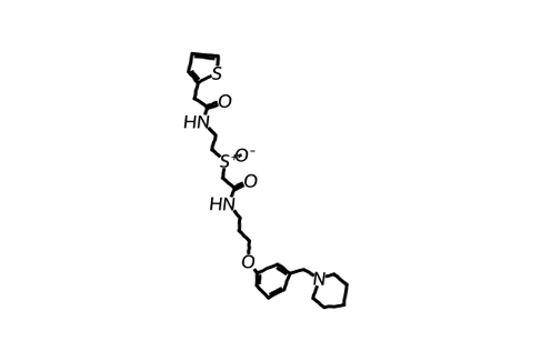 O=C(Cc1cccs1)NCC[S+]([O-])CC(=O)NCCCOc1cccc(CN2CCCCC2)c1